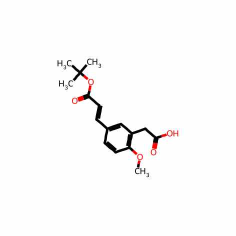 COc1ccc(/C=C/C(=O)OC(C)(C)C)cc1CC(=O)O